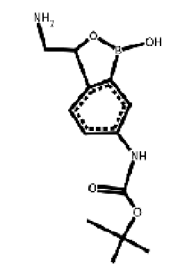 CC(C)(C)OC(=O)Nc1ccc2c(c1)B(O)OC2CN